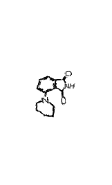 O=C1NC(=O)c2c1cccc2N1CCCCC1